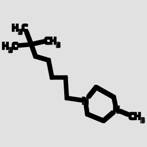 CN1CCN(CCCCCC(C)(C)C)CC1